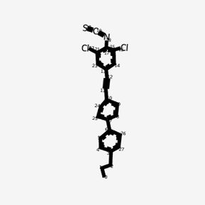 CCCc1ccc(-c2ccc(C#Cc3cc(Cl)c(N=C=S)c(Cl)c3)cc2)cc1